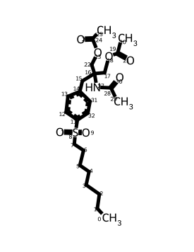 CCCCCCCCS(=O)(=O)c1ccc(CC(COC(C)=O)(COC(C)=O)NC(C)=O)cc1